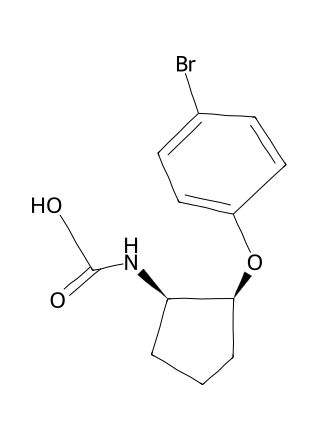 O=C(O)N[C@@H]1CCC[C@@H]1Oc1ccc(Br)cc1